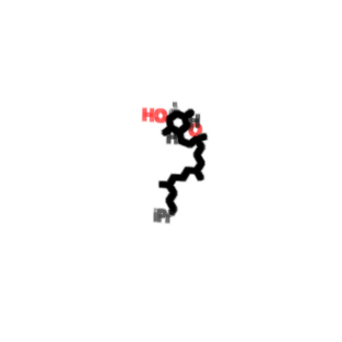 CC(C)CCCC(C)CCCC(C)CCCC1(C)CC[C@@H]2C(C)C(O)[C@H](C)C(C)[C@@H]2O1